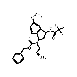 C=CCN(C(=O)OCc1ccccc1)C1CC(NC(=O)C(F)(F)F)c2cc(OC)ccc21